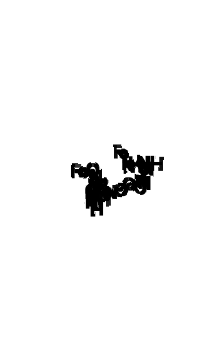 CN[C@@H](C)C(=O)N[C@H](C(=O)N1CCC[C@H]1C1=NC(C(=O)c2ccc(F)cc2)CS1)C1CCN(CCOCCOCCC(=O)n2cc(-c3cnc4[nH]cc(-c5cnn(Cc6cccc(F)c6)c5)c4c3)cn2)CC1